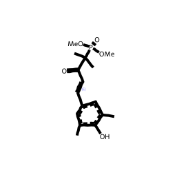 COP(=O)(OC)C(C)(C)C(=O)/C=C/c1cc(C)c(O)c(C)c1